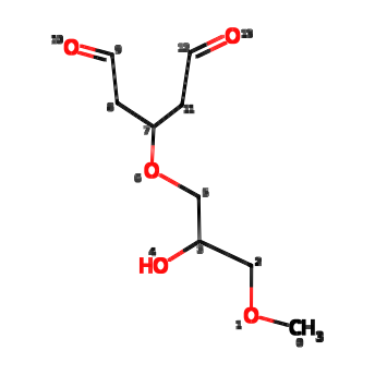 COCC(O)COC(CC=O)CC=O